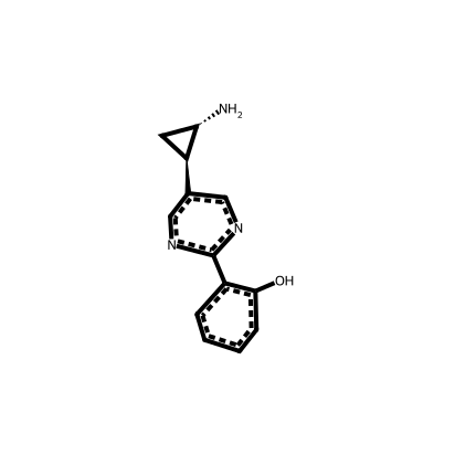 N[C@H]1C[C@@H]1c1cnc(-c2ccccc2O)nc1